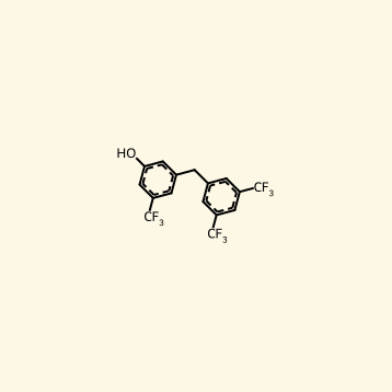 Oc1cc(Cc2cc(C(F)(F)F)cc(C(F)(F)F)c2)cc(C(F)(F)F)c1